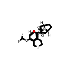 CN(C1CCOCC1)[C@H]1C[C@H]2CC[C@@H](C1)N2S(=O)(=O)c1ccc(OC(F)F)cc1